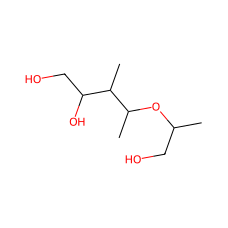 CC(CO)OC(C)C(C)C(O)CO